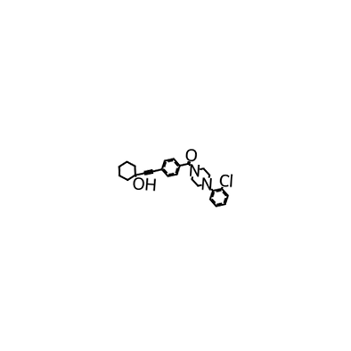 O=C(c1ccc(C#CC2(O)CCCCC2)cc1)N1CCN(c2ccccc2Cl)CC1